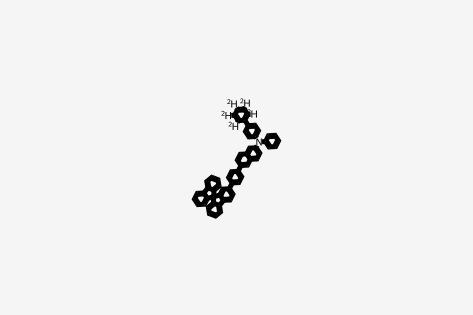 [2H]c1c([2H])c([2H])c(-c2ccc(N(c3ccccc3)c3ccc4cc(-c5ccc(-c6ccc7c(c6)C6(c8ccccc8-c8ccccc86)c6ccccc6-7)cc5)ccc4c3)cc2)c([2H])c1[2H]